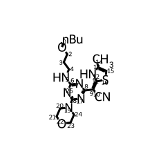 CCCCOCCCNc1nc(C(C#N)=C2NC(C)=CS2)nc(N2CCOCC2)n1